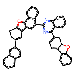 C1=C(c2ccc3ccccc3c2)CCc2oc3c(cc(-c4nc(C5=CC=C6c7ccccc7OC6C5)c5ccccc5n4)c4ccccc43)c21